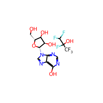 OC(F)(C(F)F)C(F)(F)F.OC[C@H]1O[C@@H](n2cnc3c(O)ncnc32)[C@H](O)[C@@H]1O